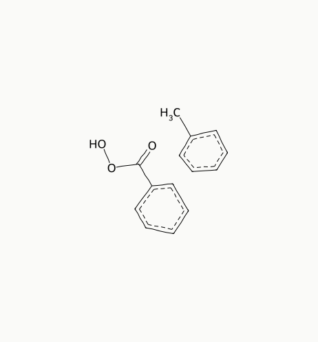 Cc1ccccc1.O=C(OO)c1ccccc1